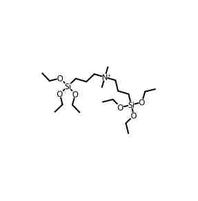 CCO[Si](CCC[N+](C)(C)CCC[Si](OCC)(OCC)OCC)(OCC)OCC